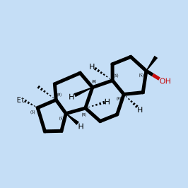 CC[C@H]1CC[C@H]2[C@@H]3CC[C@@H]4C[C@@](C)(O)CC[C@@H]4[C@H]3CC[C@]12C